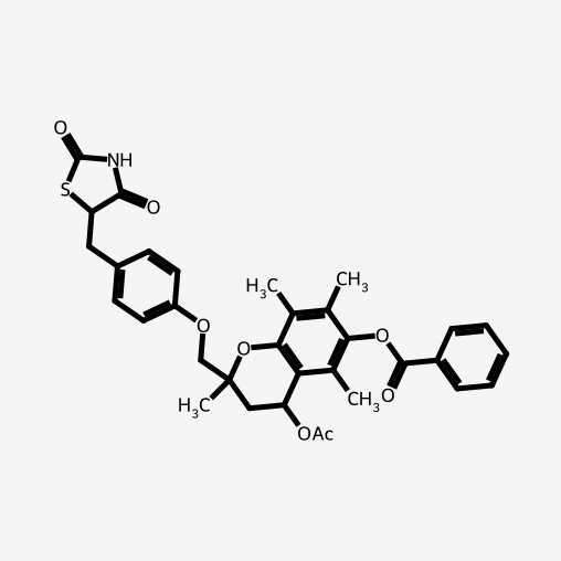 CC(=O)OC1CC(C)(COc2ccc(CC3SC(=O)NC3=O)cc2)Oc2c(C)c(C)c(OC(=O)c3ccccc3)c(C)c21